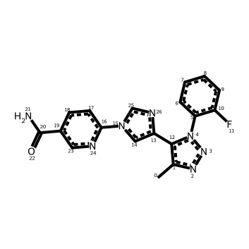 Cc1nnn(-c2ccccc2F)c1-c1cn(-c2ccc(C(N)=O)cn2)cn1